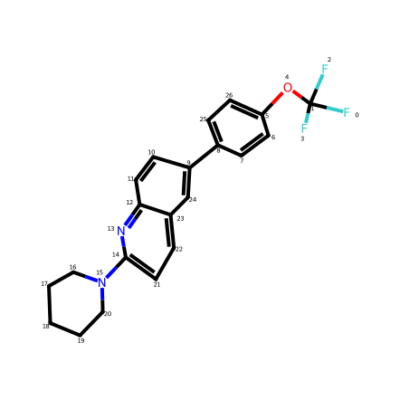 FC(F)(F)Oc1ccc(-c2ccc3nc(N4CCCCC4)ccc3c2)cc1